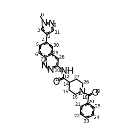 Cn1cc(-c2ccc3nnc(NC(=O)C4CCN(C(=O)c5ccccc5)CC4)cc3c2)cn1